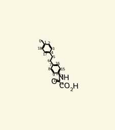 Cc1ccc(CCc2ccc(NC(=O)C(=O)O)cc2)cc1